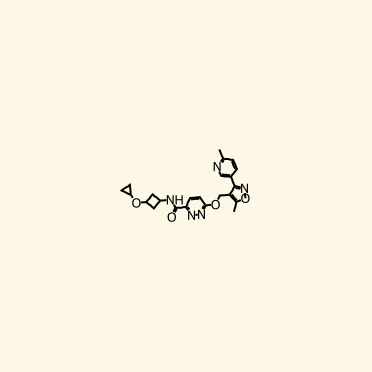 Cc1ccc(-c2noc(C)c2COc2ccc(C(=O)NC3CC(OC4CC4)C3)nn2)cn1